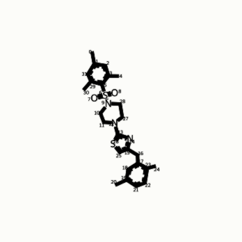 Cc1cc(C)c(S(=O)(=O)N2CCN(c3nc(Cc4cc(C)ccc4C)cs3)CC2)c(C)c1